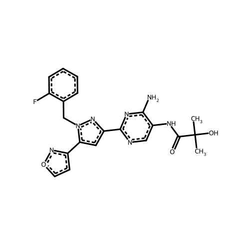 CC(C)(O)C(=O)Nc1cnc(-c2cc(-c3ccon3)n(Cc3ccccc3F)n2)nc1N